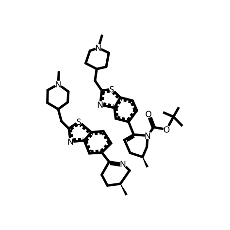 C[C@H]1CC=C(c2ccc3sc(CC4CCN(C)CC4)nc3c2)N(C(=O)OC(C)(C)C)C1.C[C@H]1CCC(c2ccc3sc(CC4CCN(C)CC4)nc3c2)=NC1